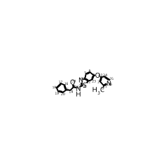 Cc1cc(Oc2ccc3nc(NC(=O)Cc4ccccc4)sc3c2)ccn1